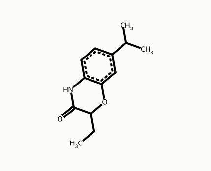 CCC1Oc2cc(C(C)C)ccc2NC1=O